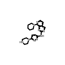 c1cc2cnc(Nc3ccc(N4CCNCC4)nn3)nc2c(N2CCCCC2)n1